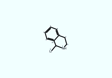 [Li][CH]1NCCc2ccccc21